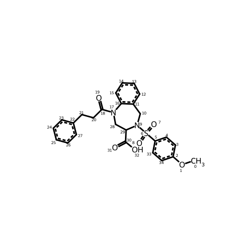 COc1ccc(S(=O)(=O)N2Cc3ccccc3N(C(=O)CCc3ccccc3)CC2C(=O)O)cc1